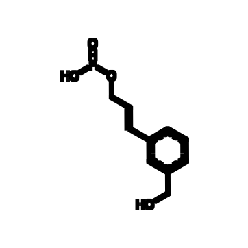 O=[PH](O)OCC=Cc1cccc(CO)c1